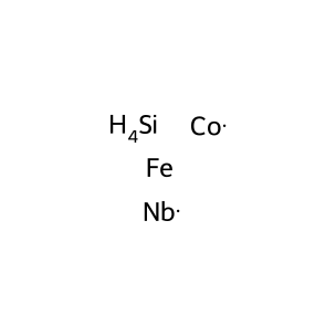 [Co].[Fe].[Nb].[SiH4]